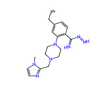 CC(C)Cc1ccc(C(=N)N=N)c(N2CCN(Cc3nccn3C)CC2)c1